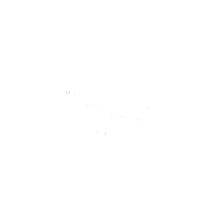 COCC[C@@H](N)C1(C)C=CC=CC1